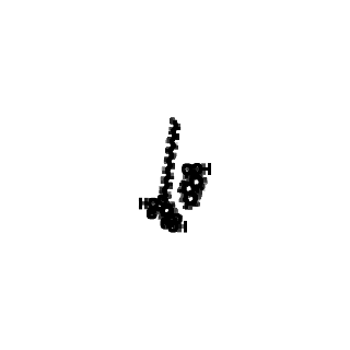 CCCCCCCCCCCCCCCCOc1ccc(S(=O)(=O)O)cc1C(=O)O.C[C@]12CCC[C@](C)(C(=O)O)C1CCC1CCCCC12